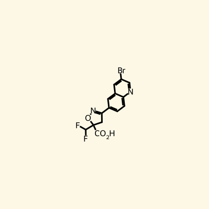 O=C(O)C1(C(F)F)CC(c2ccc3ncc(Br)cc3c2)=NO1